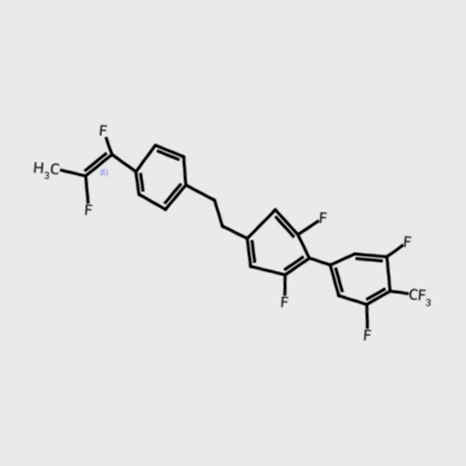 C/C(F)=C(\F)c1ccc(CCc2cc(F)c(-c3cc(F)c(C(F)(F)F)c(F)c3)c(F)c2)cc1